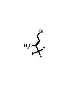 C/C(=C\CBr)C(F)(F)F